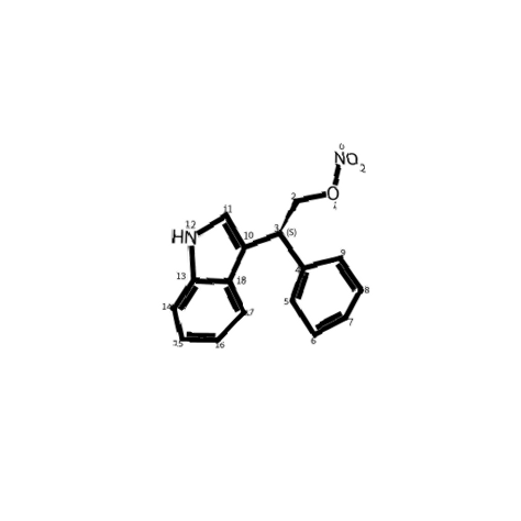 O=[N+]([O-])OC[C@@H](c1ccccc1)c1c[nH]c2ccccc12